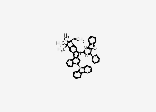 C=CC1=C(C)C(C)(C)c2cc3c4c5ccccc5c(-n5c6ccccc6c6ccccc65)cc4n(-c4nc(-c5ccccc5)c5oc6ccccc6c5n4)c3cc21